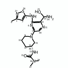 Cc1cc(Nc2nc(N3CCC[C@@H](NC(=O)N(C)C)C3)cnc2C(N)O)sn1